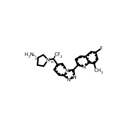 Cc1cc(F)cc2ccc(-c3nnc4ccc([C@@H](N5CC[C@H](N)C5)C(F)(F)F)cn34)nc12